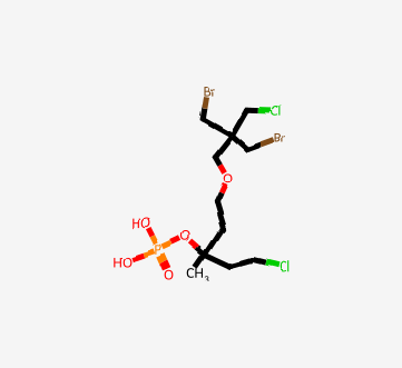 CC(CCCl)(CCOCC(CCl)(CBr)CBr)OP(=O)(O)O